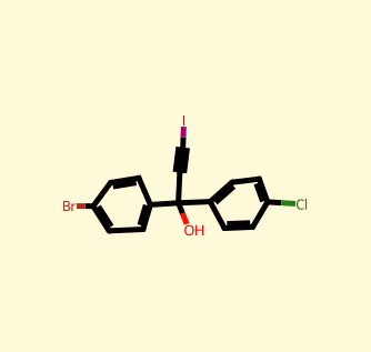 OC(C#CI)(c1ccc(Cl)cc1)c1ccc(Br)cc1